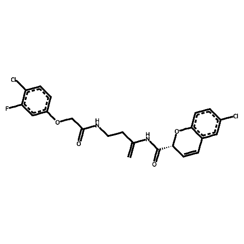 C=C(CCNC(=O)COc1ccc(Cl)c(F)c1)NC(=O)[C@H]1C=Cc2cc(Cl)ccc2O1